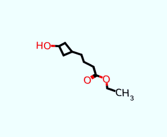 CCOC(=O)CCCC1CC(O)C1